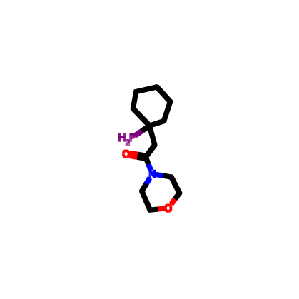 O=C(CC1(P)CCCCC1)N1CCOCC1